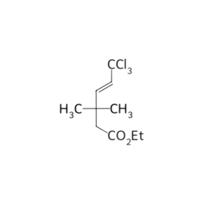 CCOC(=O)CC(C)(C)/C=C/C(Cl)(Cl)Cl